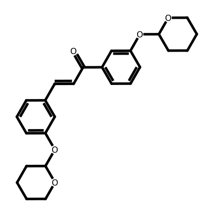 O=C(/C=C/c1cccc(OC2CCCCO2)c1)c1cccc(OC2CCCCO2)c1